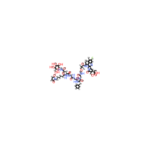 CC[C@@]1(O)C(=O)OCc2c1cc1n(c2=O)Cc2c-1nc1cc(F)c(C)c3c1c2[C@@H](NC(=O)C(C)(C)COCNC(=O)CNC(=O)[C@H](Cc1ccccc1)NC(=O)CNC(=O)CNC(=O)[C@H](CCC(=O)NC[C@@H]1O[C@H](CO)[C@@H](O)[C@H](O)[C@H]1O)NC(=O)CCCCCN1C(=O)C=CC1=O)CC3